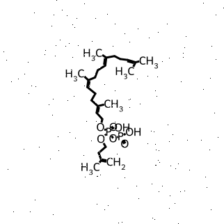 C=C(C)CCOP(=O)(OC/C=C(\C)CCC=C(C)CC/C=C(\C)CCC=C(C)C)OP(=O)(O)O